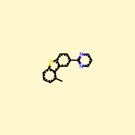 Cc1cccc2sc3ccc(-c4ncccn4)cc3c12